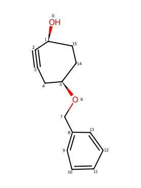 O[C@@H]1C#CC[C@H](OCc2ccccc2)CC1